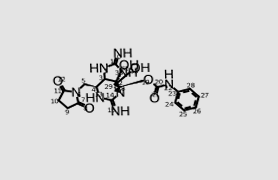 N=C1NC2[C@H](CN3C(=O)CCC3=O)NC(=N)N3C[C@H](OC(=O)Nc4ccccc4)C(O)(O)[C@@]23N1